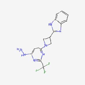 NNc1cc(N2CC(c3nc4ccccc4[nH]3)C2)nc(C(F)(F)F)n1